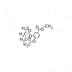 CCOC(=O)c1ccc(OC(C)OC)c(OC(C)OC)c1